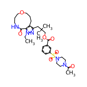 CCn1nc(CC(C)(C)COC(=O)c2cccc(S(=O)(=O)N3CCN(C(C)=O)CC3)c2)c2c1C(=O)NCCCOCCC2